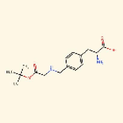 CC(C)(C)OC(=O)CNCc1ccc(C[C@H](N)C(=O)O)cc1